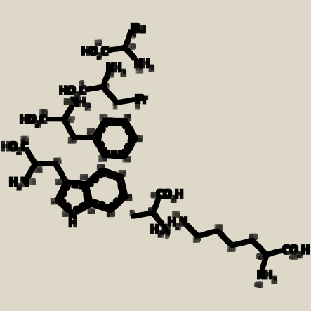 CC(C)CC(N)C(=O)O.CC(N)C(=O)O.CCC(C)C(N)C(=O)O.NC(Cc1c[nH]c2ccccc12)C(=O)O.NC(Cc1ccccc1)C(=O)O.NCCCCC(N)C(=O)O